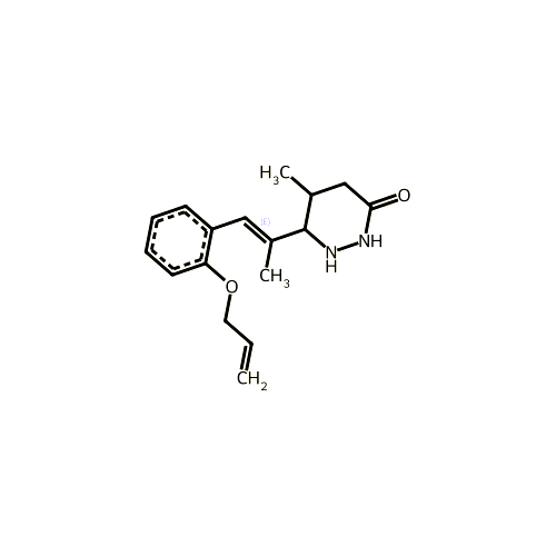 C=CCOc1ccccc1/C=C(\C)C1NNC(=O)CC1C